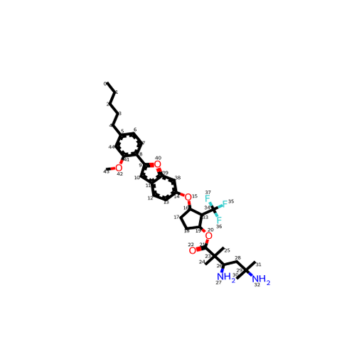 CCCCCc1ccc(-c2cc3ccc(OC4CCC(OC(=O)C(C)(C)C(N)CC(C)(C)N)C4C(F)(F)F)cc3o2)c(OC)c1